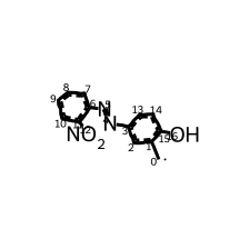 [CH2]c1cc(N=Nc2ccccc2[N+](=O)[O-])ccc1O